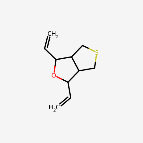 C=CC1OC(C=C)C2CSCC12